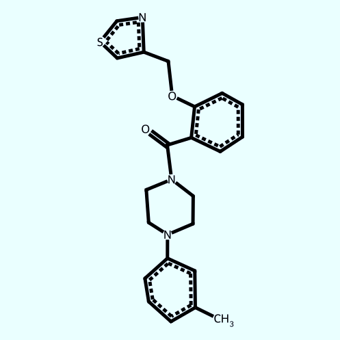 Cc1cccc(N2CCN(C(=O)c3ccccc3OCc3cscn3)CC2)c1